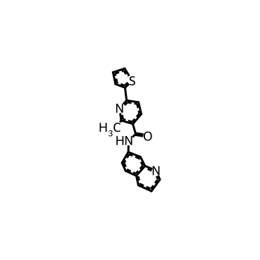 Cc1nc(-c2cccs2)ccc1C(=O)Nc1ccc2cccnc2c1